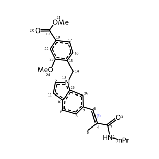 CCCNC(=O)/C(C)=C/c1ccc2ccn(Cc3ccc(C(=O)OC)cc3OC)c2c1